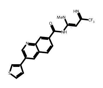 CN/C(=C\C(=N)C(F)(F)F)NC(=O)c1ccc2cc(-c3ccsc3)cnc2c1